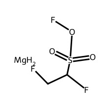 O=S(=O)(OF)C(F)CF.[MgH2]